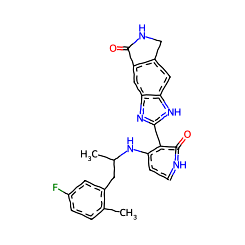 Cc1ccc(F)cc1CC(C)Nc1cc[nH]c(=O)c1-c1nc2cc3c(cc2[nH]1)CNC3=O